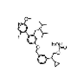 COc1cc(-c2ccc(OCc3cccc(C(CO[PH](=O)O)C4CC4)c3)cc2CN(C(C)C)C(C)C)c(F)cn1